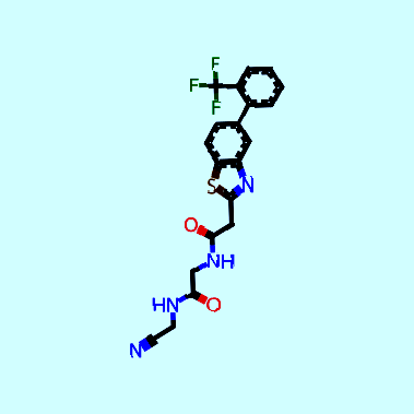 N#CCNC(=O)CNC(=O)Cc1nc2cc(-c3ccccc3C(F)(F)F)ccc2s1